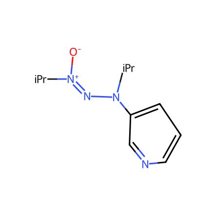 CC(C)N(N=[N+]([O-])C(C)C)c1cccnc1